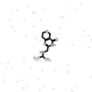 CC(C)NCc1nc2c(c(=O)[nH]1)COCC2